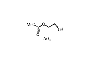 COS(=O)OCCO.N